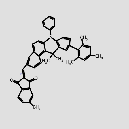 Bc1ccc2c(c1)C(=O)/C(=C\c1ccc3c4c(ccc3c1)N(c1ccccc1)c1ccc(-c3c(C)cc(C)cc3C)cc1C4(C)C)C2=O